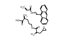 C=C(CCCOC(=O)C(=C)CC1CO1)C(=O)O.C=CC(=O)ON=Cc1c2ccccc2cc2ccccc12